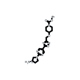 CC(C)OC(=O)N1CCC(OCc2noc(-c3cnc(N4CC[C@@H](N)C4)nc3)n2)CC1